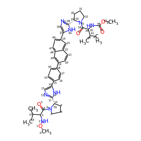 CONC(C(=O)N1CCC[C@H]1c1ncc(-c2ccc(-c3ccc4cc(-c5cnc([C@@H]6CCCN6C(=O)[C@@H](NC(=O)OC)C(C)C)[nH]5)ccc4c3)cc2)[nH]1)C(C)C